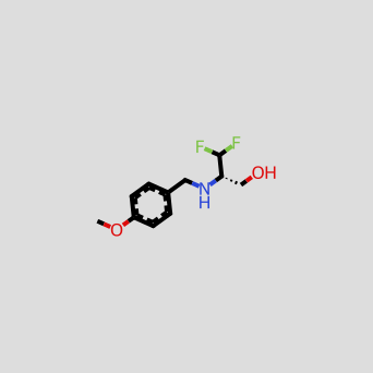 COc1ccc(CN[C@@H](CO)C(F)F)cc1